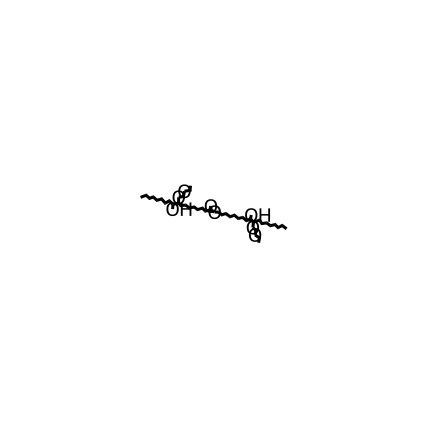 CCCCCCCCC(O)C(CCCCCCCC(=O)OCCCCCCCCC(O)C(CCCCCCCC)OCOCC)OCOCC